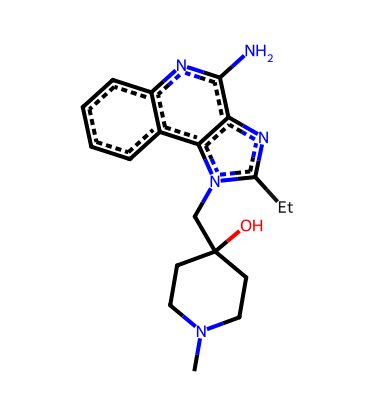 CCc1nc2c(N)nc3ccccc3c2n1CC1(O)CCN(C)CC1